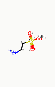 B.NCCS(=O)(=O)O